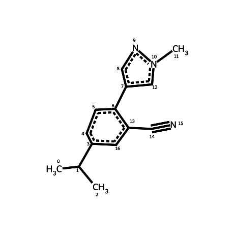 CC(C)c1ccc(-c2cnn(C)c2)c(C#N)c1